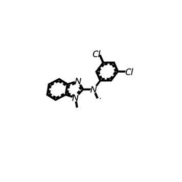 [CH2]N(c1cc(Cl)cc(Cl)c1)c1nc2ccccc2n1C